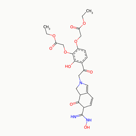 CCOC(=O)COc1ccc(C(=O)CN2C=C3C=CC(C(=N)NO)C(=O)C3C2)c(O)c1OCC(=O)OCC